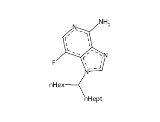 CCCCCCCC(CCCCCC)n1cnc2c(N)ncc(F)c21